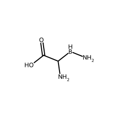 NBC(N)C(=O)O